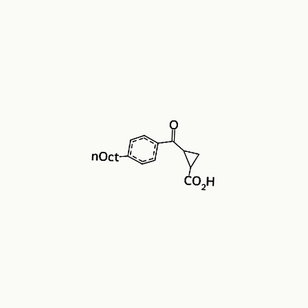 CCCCCCCCc1ccc(C(=O)C2CC2C(=O)O)cc1